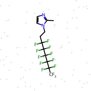 Cc1nccn1CCC(F)(F)C(F)(F)C(F)(F)C(F)(F)C(F)(F)C(F)(F)F